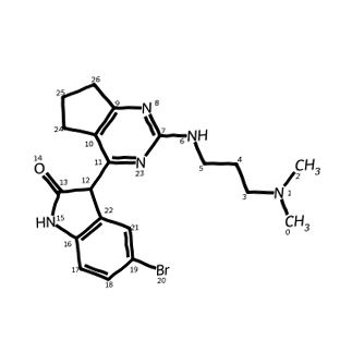 CN(C)CCCNc1nc2c(c(C3C(=O)Nc4ccc(Br)cc43)n1)CCC2